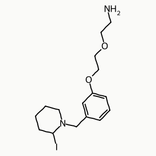 NCCOCCOc1cccc(CN2CCCCC2I)c1